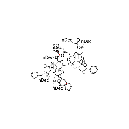 CCCCCCCCCCCC(=O)O[C@H](CCCCCCCCCCC)CC(=O)NC1C(OC(=O)C[C@@H](CCCCCCCCCCC)OC(=O)CCCCCCCCCCC)[C@@H]2OC(c3ccccc3)OCC2O[C@H]1OCC1O[C@H](OCc2ccccc2)C(NC(=O)C[C@@H](CCCCCCCCCCC)OCc2ccccc2)C(OC(=O)C[C@@H](CCCCCCCCCCC)OCc2ccccc2)[C@@H]1OCc1ccccc1